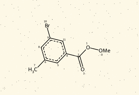 COOC(=O)c1cc(C)cc(Br)c1